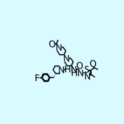 CC(=O)c1sc(NC(=O)N[C@@H]2CCN(C3CCN(C(C)=O)CC3)C[C@H]2CN2CCC[C@@H](Cc3ccc(F)cc3)C2)nc1C